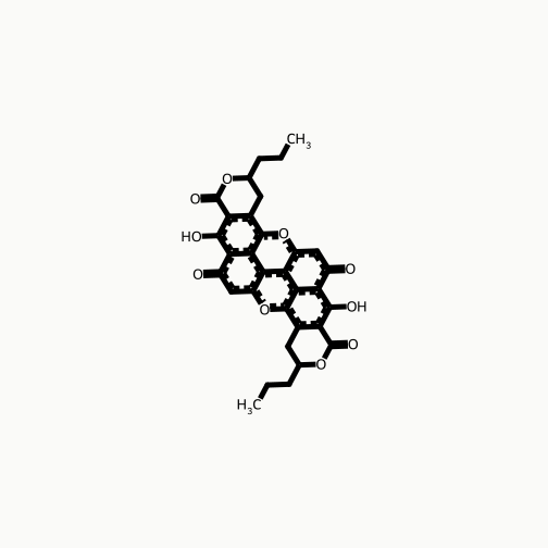 CCCC1Cc2c(c(O)c3c(=O)cc4oc5c6c(c(O)c7c(=O)cc8oc2c3c4c8c57)C(=O)OC(CCC)C6)C(=O)O1